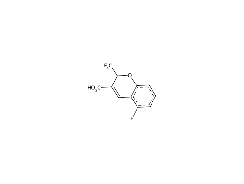 O=C(O)C1=Cc2c(F)cccc2OC1C(F)(F)F